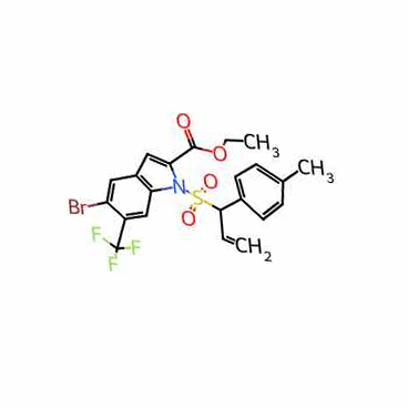 C=CC(c1ccc(C)cc1)S(=O)(=O)n1c(C(=O)OCC)cc2cc(Br)c(C(F)(F)F)cc21